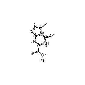 C=C(OCC)c1nc2snc(C)c2c(=O)[nH]1